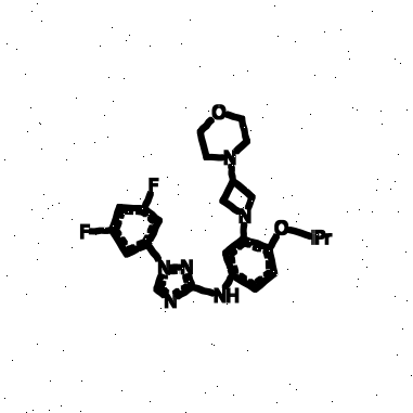 CC(C)Oc1ccc(Nc2ncn(-c3cc(F)cc(F)c3)n2)cc1N1CC(N2CCOCC2)C1